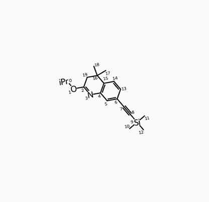 CC(C)OC1=Nc2cc(C#C[Si](C)(C)C)ccc2C(C)(C)C1